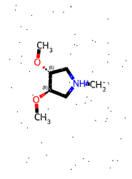 [CH2-][NH+]1C[C@@H](OC)[C@H](OC)C1